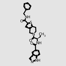 CC[C@@H](NC(=O)c1ccc2[nH]ncc2c1)C(=O)N1CCc2sc(C(=O)NCc3ccccc3)cc2C1